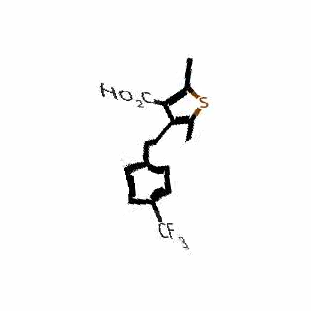 Cc1sc(C)c(C(=O)O)c1Cc1ccc(C(F)(F)F)cc1